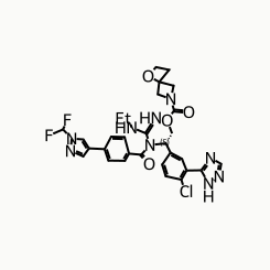 CCNC(=N)N(C(=O)c1ccc(-c2cnn(C(F)F)c2)cc1)[C@H](COC(=O)N1CC2(CCO2)C1)c1ccc(Cl)c(-c2ncn[nH]2)c1